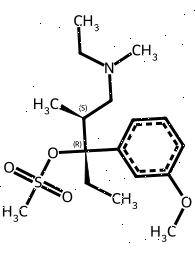 CCN(C)C[C@H](C)[C@@](CC)(OS(C)(=O)=O)c1cccc(OC)c1